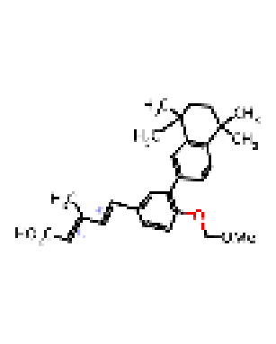 COCOc1ccc(/C=C/C(C)=C/C(=O)O)cc1-c1ccc2c(c1)C(C)(C)CCC2(C)C